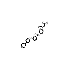 COC(=O)CC1COc2cc(O[C@@H]3CCc4c(Oc5ccc(C6=CCOCC6)cc5)ccc(F)c43)ccc21